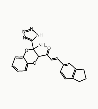 NC1(c2nnn[nH]2)Oc2ccccc2OC1C(=O)C=Cc1ccc2c(c1)CCC2